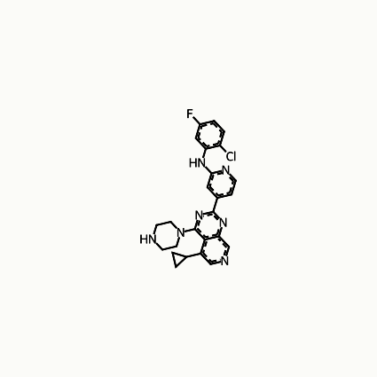 Fc1ccc(Cl)c(Nc2cc(-c3nc(N4CCNCC4)c4c(C5CC5)cncc4n3)ccn2)c1